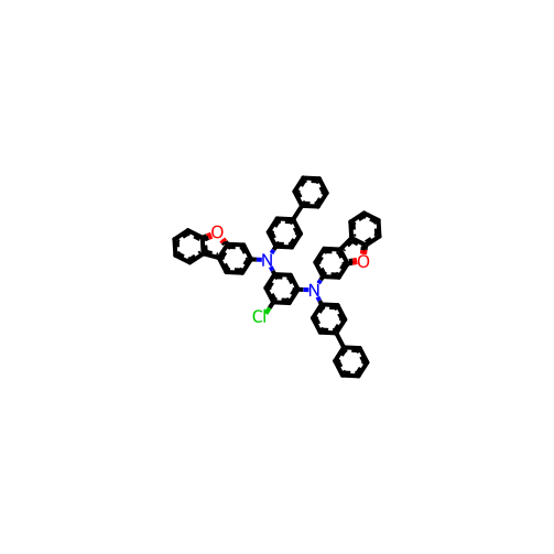 Clc1cc(N(c2ccc(-c3ccccc3)cc2)c2ccc3c(c2)oc2ccccc23)cc(N(c2ccc(-c3ccccc3)cc2)c2ccc3c(c2)oc2ccccc23)c1